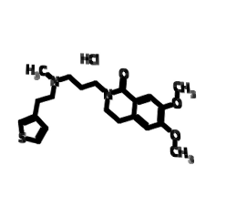 COc1cc2c(cc1OC)C(=O)N(CCCN(C)CCc1ccsc1)CC2.Cl